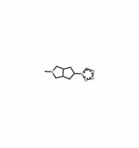 CN1CC2CC(n3cnnn3)CC2C1